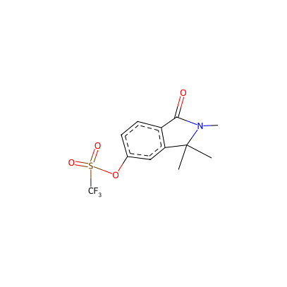 CN1C(=O)c2ccc(OS(=O)(=O)C(F)(F)F)cc2C1(C)C